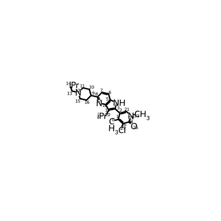 Cc1c(-c2[nH]c3ccc(C4CCN(CC(C)C)CC4)nc3c2C(C)C)cn(C)c(=O)c1Cl